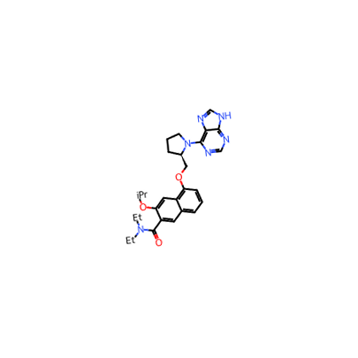 CCN(CC)C(=O)c1cc2cccc(OC[C@H]3CCCN3c3ncnc4[nH]cnc34)c2cc1OC(C)C